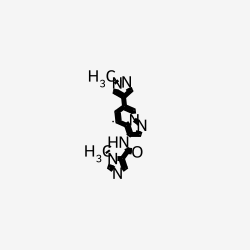 Cn1cc(-c2c[c]c3c(NC(=O)c4cncn4C)cnn3c2)cn1